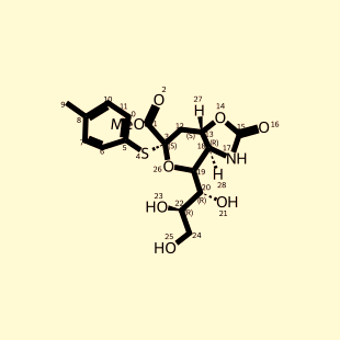 COC(=O)[C@@]1(Sc2ccc(C)cc2)C[C@@H]2OC(=O)N[C@H]2C([C@H](O)[C@H](O)CO)O1